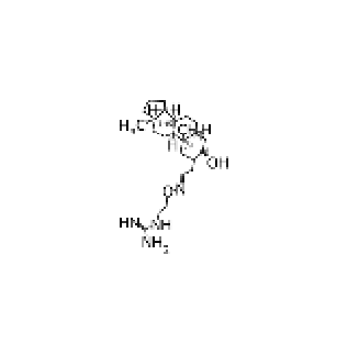 C[C@@]12CCC[C@H]1[C@@H]1CC[C@@H]3C[C@@H](O)C(CC=NOCCNC(=N)N)C[C@]3(C)[C@H]1CC2